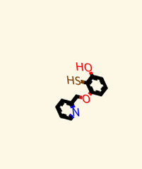 Oc1cccc(OCc2ccccn2)c1S